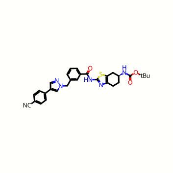 CC(C)(C)OC(=O)N[C@H]1CCc2nc(NC(=O)c3cccc(Cn4cc(-c5ccc(C#N)cc5)cn4)c3)sc2C1